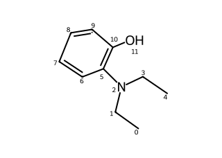 CCN(CC)c1ccc[c]c1O